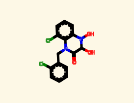 O=C1C(O)N(O)c2cccc(Cl)c2N1Cc1ccccc1Cl